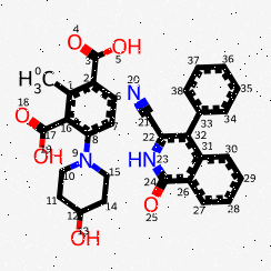 Cc1c(C(=O)O)ccc(N2CCC(O)CC2)c1C(=O)O.N#Cc1[nH]c(=O)c2ccccc2c1-c1ccccc1